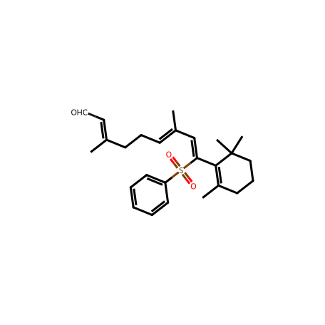 CC(=CCCC(C)=CC=O)C=C(C1=C(C)CCCC1(C)C)S(=O)(=O)c1ccccc1